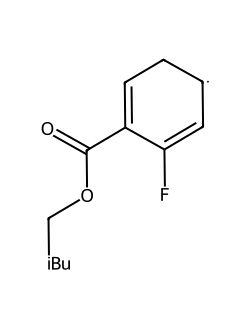 CCC(C)COC(=O)C1=CC[CH]C=C1F